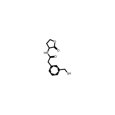 O=C(Cc1cccc(CS)c1)NC1CCOC1=O